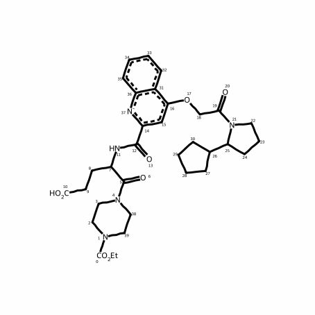 CCOC(=O)N1CCN(C(=O)C(CCC(=O)O)NC(=O)c2cc(OCC(=O)N3CCCC3C3CCCC3)c3ccccc3n2)CC1